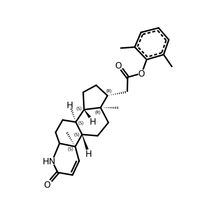 Cc1cccc(C)c1OC(=O)C[C@H]1CC[C@H]2[C@@H]3CCC4NC(=O)C=C[C@]4(C)[C@H]3CC[C@]12C